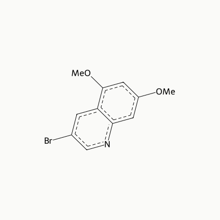 COc1cc(OC)c2cc(Br)cnc2c1